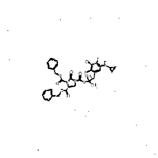 CC(C)(Cc1cc(NC2CC2)c(F)c(Cl)c1F)OC(=O)N1C[C@@H](C(=O)OCc2ccccc2)N(C(=O)OCc2ccccc2)C1=O